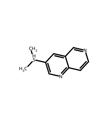 C[SH](C)c1cnc2ccncc2c1